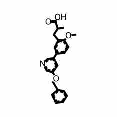 COc1ccc(-c2cncc(OCc3ccccc3)c2)cc1CC(C)C(=O)O